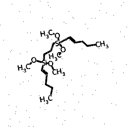 CCCC=C[Si](CCC[Si](C=CCCC)(OC)OC)(OC)OC